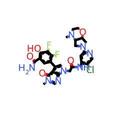 CN1CCOC2CN(c3cc(NC(=O)Cn4cc(-c5cc(C(N)=O)c(O)c(F)c5F)c5c(=O)n(C)cnc54)c(Cl)cn3)CC21